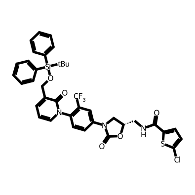 CC(C)(C)[Si](OCc1cccn(-c2ccc(N3C[C@H](CNC(=O)c4ccc(Cl)s4)OC3=O)cc2C(F)(F)F)c1=O)(c1ccccc1)c1ccccc1